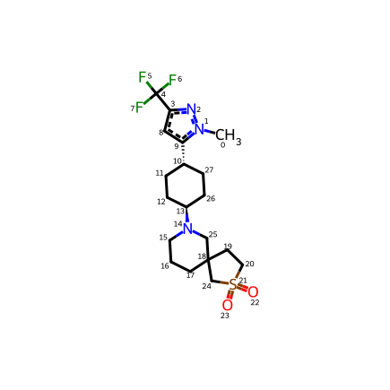 Cn1nc(C(F)(F)F)cc1[C@H]1CC[C@H](N2CCCC3(CCS(=O)(=O)C3)C2)CC1